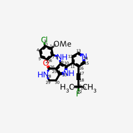 COc1c(Cl)cccc1Nc1c(-c2ccncc2C#CC(C)(C)F)[nH]c2c1C(=O)NCC2